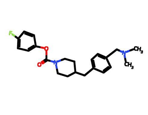 CN(C)Cc1ccc(CC2CCN(C(=O)Oc3ccc(F)cc3)CC2)cc1